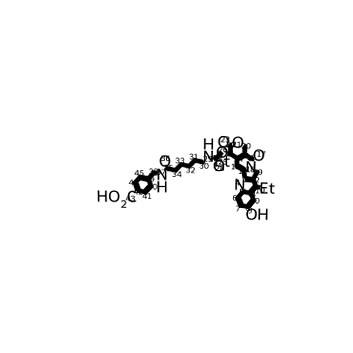 CCc1c2c(nc3ccc(O)cc13)-c1cc3c(c(=O)n1C2)COC(=O)[C@@]3(CC)OC(=O)NCCCCCC(=O)NCc1ccc(C(=O)O)cc1